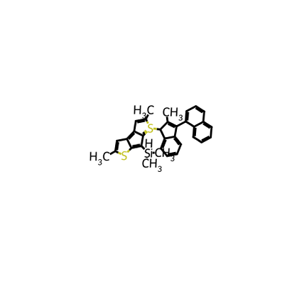 CC1=CC2=c3cc(C)sc3=C([SiH](C)C)C2=S1C1C(C)=C(c2cccc3ccccc23)c2ccccc21